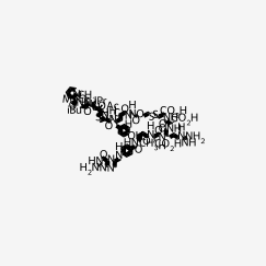 CCC(C)[C@H](NC(=O)[C@H]1CCCCN1C)C(=O)N(COC)[C@H](C[C@@H](OC(C)=O)c1nc(C(=O)N[C@@H](Cc2ccc(O)cc2)C[C@H](C)C(=O)NNC(=O)OCCSSC[C@H](NC(=O)[C@H](CC(=O)O)NC(=O)[C@H](CCCNC(=N)N)NC(=O)[C@H](CC(=O)O)NC(=O)CC[C@@H](C)NC(=O)c2ccc(NCc3cnc4nc(N)[nH]c(=O)c4n3)cc2)C(=O)O)cs1)C(C)C